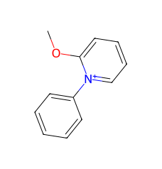 COc1cccc[n+]1-c1ccccc1